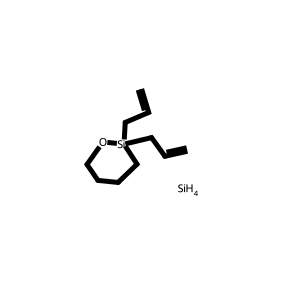 C=CC[Si]1(CC=C)CCCCO1.[SiH4]